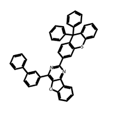 c1ccc(-c2cccc(-c3nc(-c4ccc5c(c4)Sc4ccccc4C5(c4ccccc4)c4ccccc4)nc4c3oc3ccccc34)c2)cc1